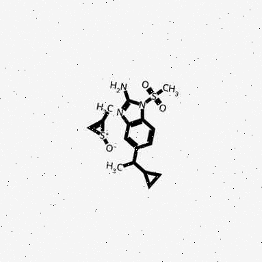 CC(c1ccc2c(c1)nc(N)n2S(C)(=O)=O)C1CC1.CC1=C[S+]1[O-]